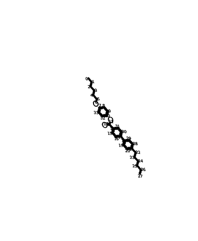 CCCCCCOc1ccc(OC(=O)c2ccc(-c3ccc(CCCCCC)cc3)cc2)cc1